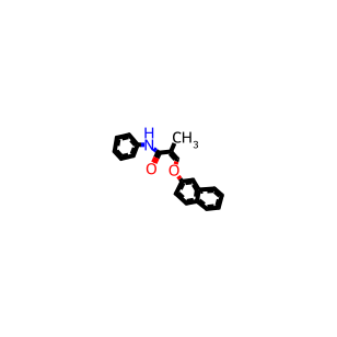 CC(=COc1ccc2ccccc2c1)C(=O)Nc1ccccc1